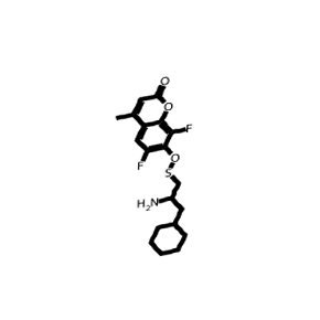 Cc1cc(=O)oc2c(F)c(OSCC(N)CC3CCCCC3)c(F)cc12